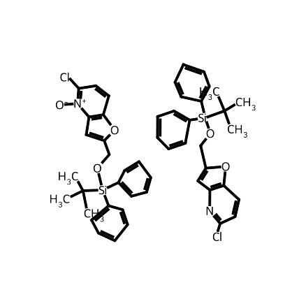 CC(C)(C)[Si](OCc1cc2c(ccc(Cl)[n+]2[O-])o1)(c1ccccc1)c1ccccc1.CC(C)(C)[Si](OCc1cc2nc(Cl)ccc2o1)(c1ccccc1)c1ccccc1